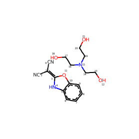 N#CC(C#N)=C1Nc2ccccc2O1.OCCN(CCO)CCO